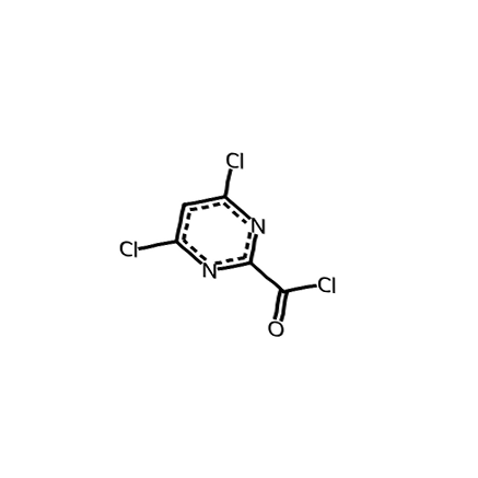 O=C(Cl)c1nc(Cl)cc(Cl)n1